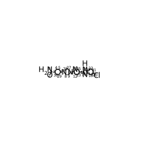 NC(=O)c1ccc(N2CCN(c3ccc(-c4nc5cc(Cl)ccc5[nH]4)cn3)CC2)cc1